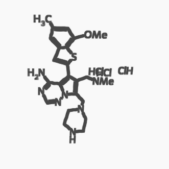 CNCc1c(-c2cc3cc(C)cc(OC)c3s2)c2c(N)ncnn2c1CN1CCNCC1.Cl.Cl.Cl